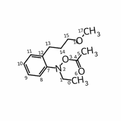 CCN(OC(C)=O)c1ccccc1CCCOC